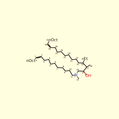 CCCCCCCC/C=C\CCCCCCCCCN(C)CC(O)C(C)C(CC)CCCCCCCC/C=C\CCCCCCCC